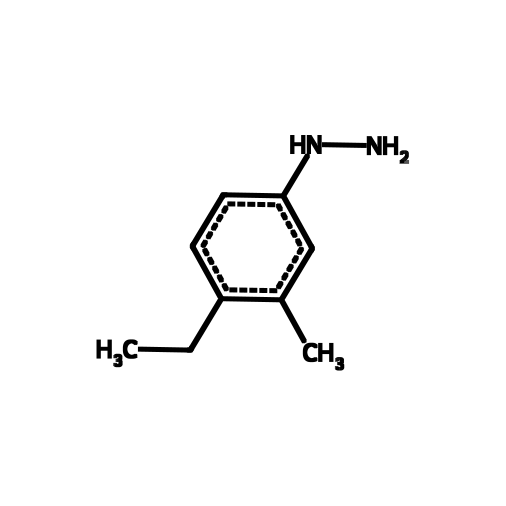 CCc1ccc(NN)cc1C